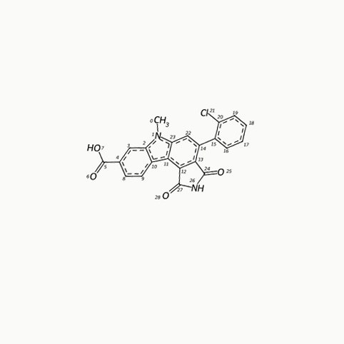 Cn1c2cc(C(=O)O)ccc2c2c3c(c(-c4ccccc4Cl)cc21)C(=O)NC3=O